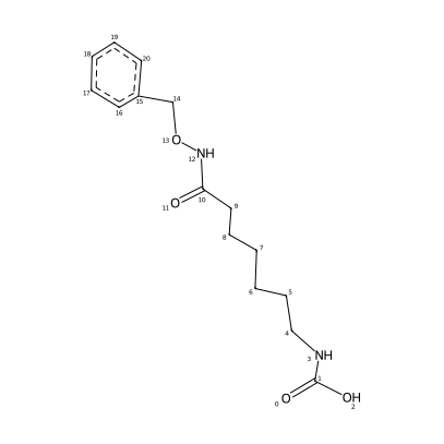 O=C(O)NCCCCCCC(=O)NOCc1ccccc1